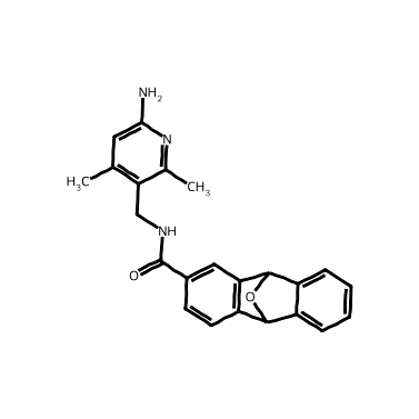 Cc1cc(N)nc(C)c1CNC(=O)c1ccc2c(c1)C1OC2c2ccccc21